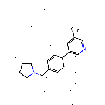 Cc1cncc(C2C=CC(CN3CCCC3)=CC2)c1